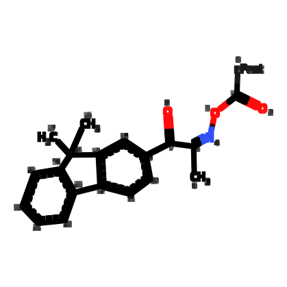 CCCCCC(=O)O/N=C(/C)C(=O)c1ccc2c(c1)C(C)(C)c1ccccc1-2